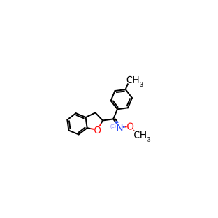 CO/N=C(\c1ccc(C)cc1)C1Cc2ccccc2O1